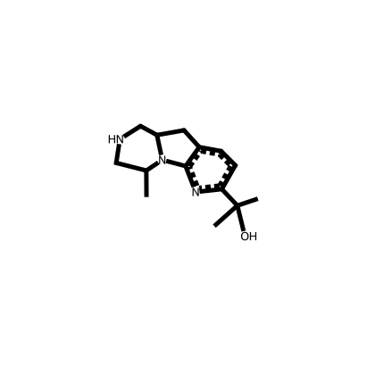 CC1CNCC2Cc3ccc(C(C)(C)O)nc3N12